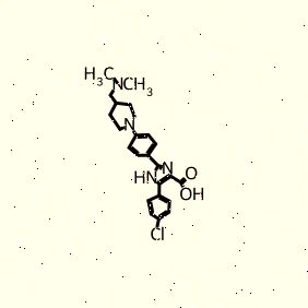 CN(C)CC1CCN(c2ccc(-c3nc(C(=O)O)c(-c4ccc(Cl)cc4)[nH]3)cc2)CC1